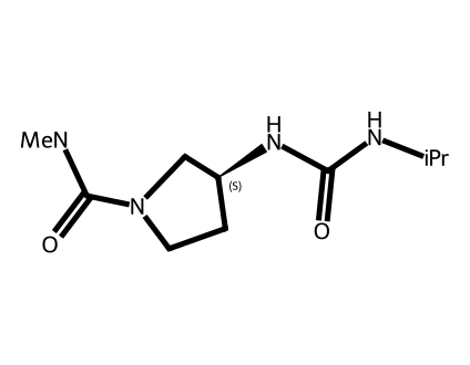 CNC(=O)N1CC[C@H](NC(=O)NC(C)C)C1